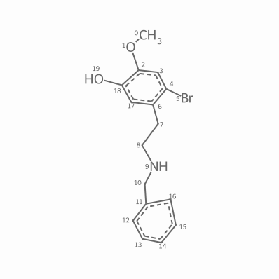 COc1cc(Br)c(CCNCc2ccccc2)cc1O